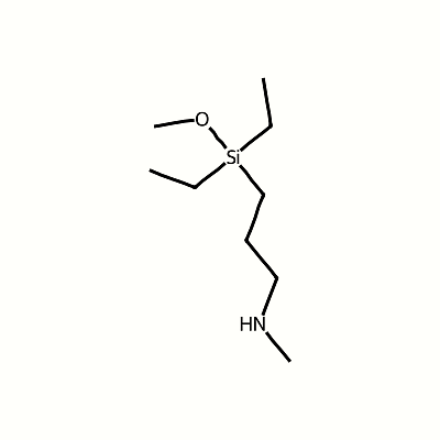 CC[Si](CC)(CCCNC)OC